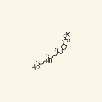 CC(C)(C)OC(=O)CCNC(=O)CCCC(=O)OC1CCC(NC(=O)OC(C)(C)C)C1